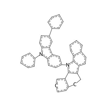 c1ccc(-c2ccc3c(c2)c2cc(-n4c5c(c6ccc7ccccc7c64)CCc4ccccc4-5)ccc2n3-c2ccccc2)cc1